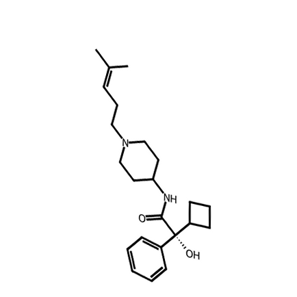 CC(C)=CCCN1CCC(NC(=O)[C@](O)(c2ccccc2)C2CCC2)CC1